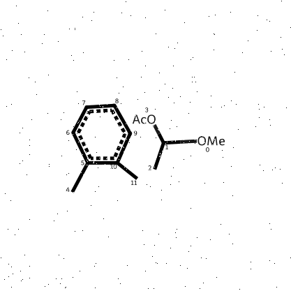 COC(C)OC(C)=O.Cc1ccccc1C